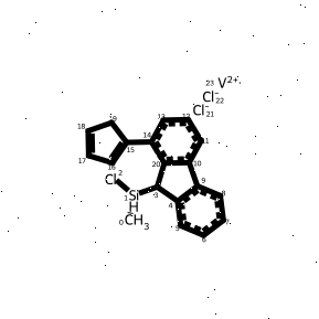 C[SiH](Cl)C1c2ccccc2-c2cccc(C3=CC=CC3)c21.[Cl-].[Cl-].[V+2]